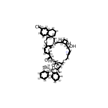 C[C@H](C[C@@H]1CC/C=C/[C@H](O)[C@@H]2CC[C@H]2CN2C[C@@]3(CCCc4cc(Cl)ccc43)COc3ccc(cc32)C(=O)NS1(=O)=O)O[Si](c1ccccc1)(c1ccccc1)C(C)(C)C